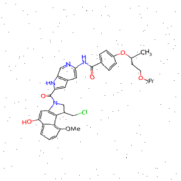 COc1cccc2c(O)cc3c(c12)C(CCl)CN3C(=O)c1cc2cc(NC(=O)c3ccc(OC(C)CCOC(C)C)cc3)ncc2[nH]1